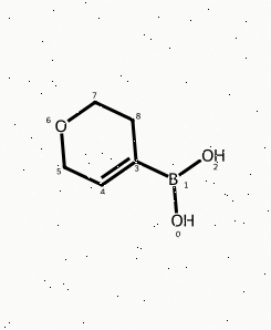 OB(O)C1=CCOCC1